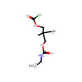 CCCC(C)(COC(=O)Cl)COC(=O)NCC(=O)OCC